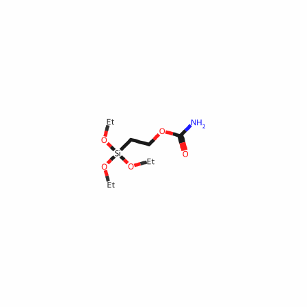 CCO[Si](CCOC(N)=O)(OCC)OCC